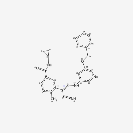 Cc1ccc(C(=O)NC2CC2)cc1/C(C=N)=C/Nc1cncc(OCc2ccccc2)c1